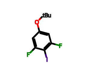 CC(C)(C)Oc1cc(F)c(I)c(F)c1